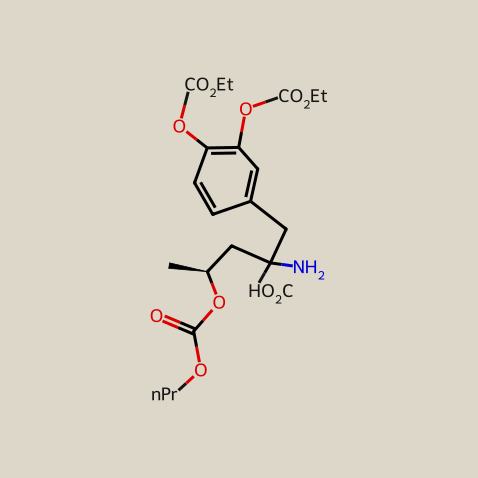 CCCOC(=O)O[C@@H](C)CC(N)(Cc1ccc(OC(=O)OCC)c(OC(=O)OCC)c1)C(=O)O